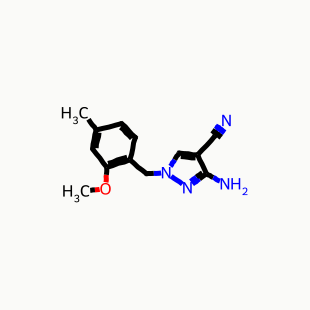 COc1cc(C)ccc1Cn1cc(C#N)c(N)n1